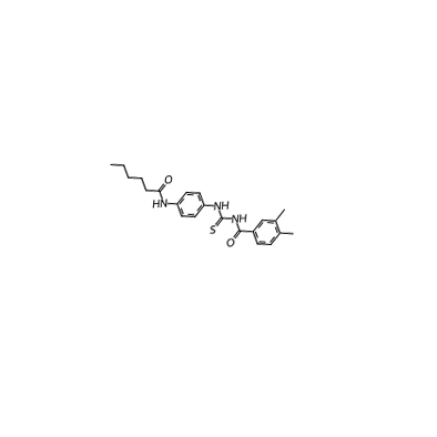 CCCCCC(=O)Nc1ccc(NC(=S)NC(=O)c2ccc(C)c(C)c2)cc1